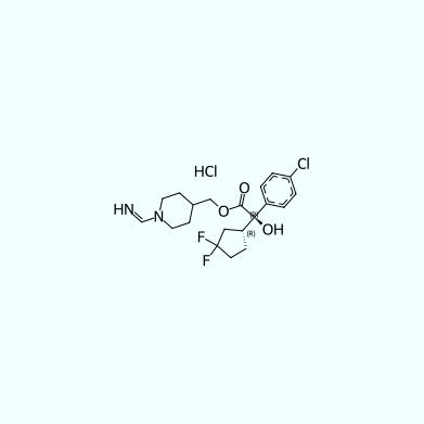 Cl.N=CN1CCC(COC(=O)[C@](O)(c2ccc(Cl)cc2)[C@@H]2CCC(F)(F)C2)CC1